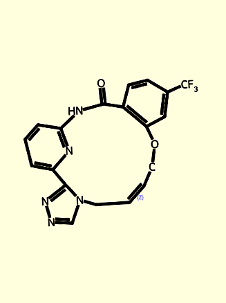 O=C1Nc2cccc(n2)-c2nncn2C/C=C\COc2cc(C(F)(F)F)ccc21